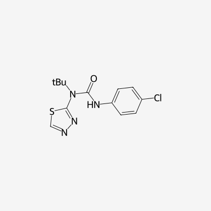 CC(C)(C)N(C(=O)Nc1ccc(Cl)cc1)c1nncs1